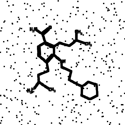 CC(C)CCc1ccc(C(N)=O)c(CCC(C)C)c1NCCCN1CCCCC1